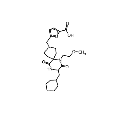 COCCN1C(=O)C(CC2CCCCC2)NC(=O)C12CCN(Cc1ccc(C(=O)O)o1)CC2